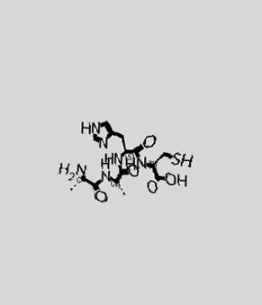 C[C@H](N)C(=O)N[C@@H](C)C(=O)N[C@@H](Cc1c[nH]cn1)C(=O)N[C@@H](CS)C(=O)O